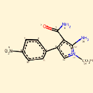 NC(=O)c1c(-c2ccc([N+](=O)[O-])cc2)cn(C(=O)O)c1N